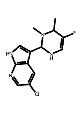 CC1C(F)=CNC(c2c[nH]c3ncc(Cl)cc23)N1C